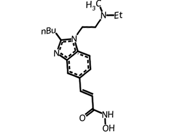 CCCCc1nc2cc(/C=C/C(=O)NO)ccc2n1CCN(C)CC